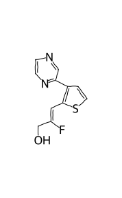 OCC(F)=Cc1sccc1-c1cnccn1